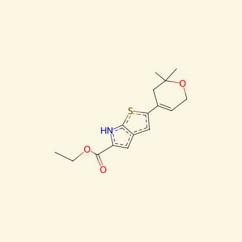 CCOC(=O)c1cc2cc(C3=CCOC(C)(C)C3)sc2[nH]1